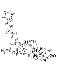 CC1=C2C[C@H]3[C@@H](CC[C@@H]4CC(=O)CC[C@@]43C)[C@@H]2CCC2(C1)O[C@@H]1C[C@H](C)CN(CCNC(=O)CCc3ccccc3)[C@H]1[C@H]2C